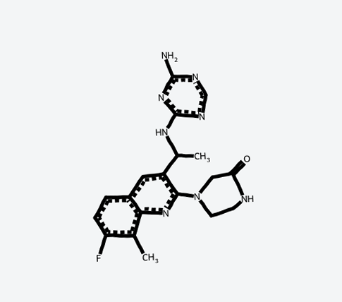 Cc1c(F)ccc2cc(C(C)Nc3ncnc(N)n3)c(N3CCNC(=O)C3)nc12